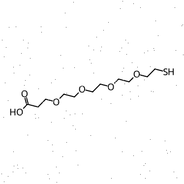 O=C(O)CCOCCOCCOCCOCCS